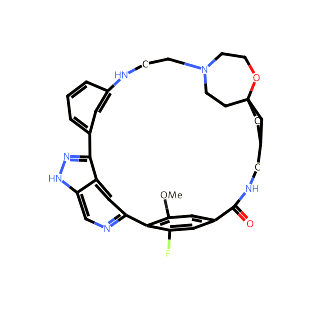 COc1cc2cc(F)c1-c1cc3c(n[nH]c3cn1)-c1cccc(c1)NCCN1CCOC3(CC1)CC(CNC2=O)C3